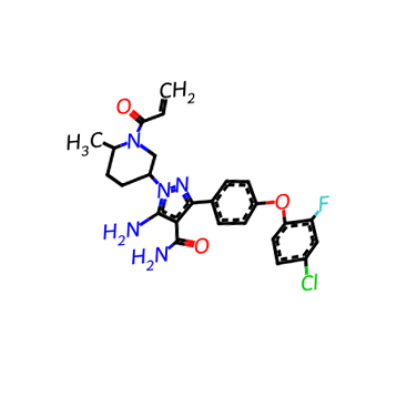 C=CC(=O)N1CC(n2nc(-c3ccc(Oc4ccc(Cl)cc4F)cc3)c(C(N)=O)c2N)CCC1C